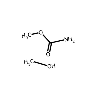 CO.COC(N)=O